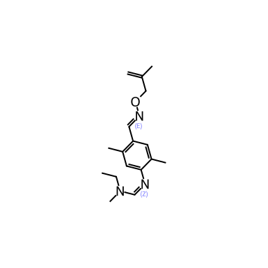 C=C(C)CO/N=C/c1cc(C)c(/N=C\N(C)CC)cc1C